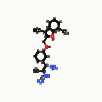 Cc1c(COc2cccc(/C(N)=C(\C#N)NN)c2)oc2c(C(F)(F)F)cccc12